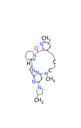 Cc1ccc2c(n1)C(=O)N1CCCC[C@H]1c1cc3nc(N4CCC(C)C4)cc(n3n1)N(C)CCCCC2